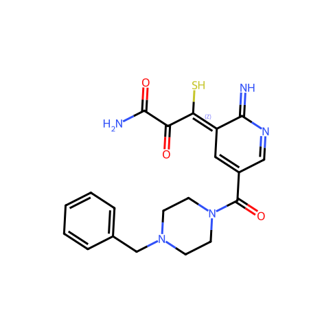 N=C1N=CC(C(=O)N2CCN(Cc3ccccc3)CC2)=C/C1=C(/S)C(=O)C(N)=O